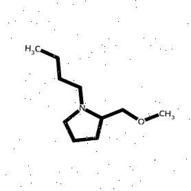 CCCCN1CCCC1COC